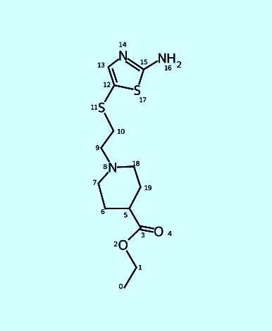 CCOC(=O)C1CCN(CCSc2cnc(N)s2)CC1